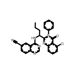 CCCC(Nc1ncnc2ccc(C#N)cc12)c1nc2cccc(Cl)c2c(=O)n1-c1ccccc1